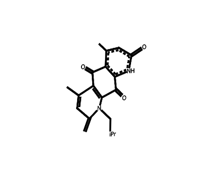 C=C1C=C(C)C2=C(C(=O)c3[nH]c(=O)cc(C)c3C2=O)N1CC(C)C